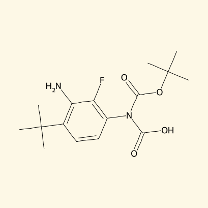 CC(C)(C)OC(=O)N(C(=O)O)c1ccc(C(C)(C)C)c(N)c1F